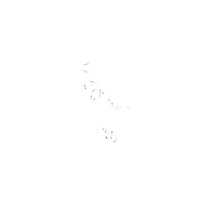 NS(=O)(=O)NCCCCC(NC(=O)O)c1nc2cc(-c3cccs3)ccc2[nH]1